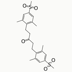 Cc1cc(S(C)(=O)=O)cc(C)c1CCC(=O)CCc1c(C)cc(S(C)(=O)=O)cc1C